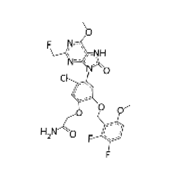 COc1ccc(F)c(F)c1COc1cc(-n2c(=O)[nH]c3c(OC)nc(CF)nc32)c(Cl)cc1OCC(N)=O